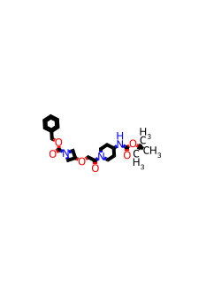 CC(C)(C)OC(=O)NC1CCN(C(=O)COC2CN(C(=O)OCc3ccccc3)C2)CC1